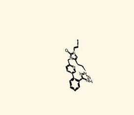 CCCc1cn(CCC)c(=O)n1Cc1ccc(-c2ccccc2-c2nnn[nH]2)cn1